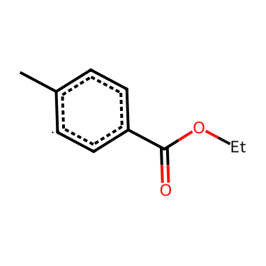 CCOC(=O)c1c[c]c(C)cc1